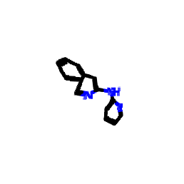 c1ccc(Nc2cc3ccccc3cn2)nc1